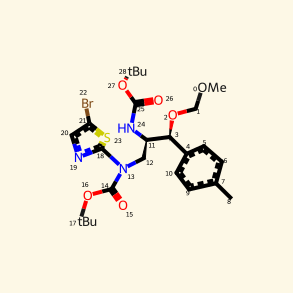 COCO[C@@H](c1ccc(C)cc1)[C@@H](CN(C(=O)OC(C)(C)C)c1ncc(Br)s1)NC(=O)OC(C)(C)C